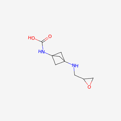 O=C(O)NC12CC(NCC3CO3)(C1)C2